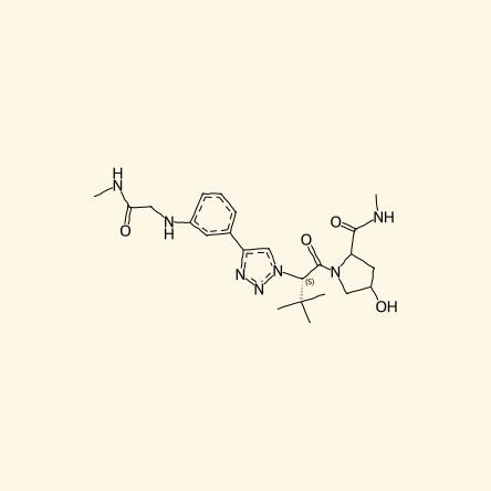 CNC(=O)CNc1cccc(-c2cn([C@H](C(=O)N3CC(O)CC3C(=O)NC)C(C)(C)C)nn2)c1